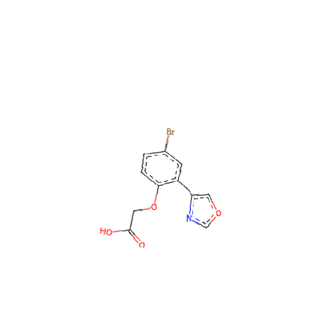 O=C(O)COc1ccc(Br)cc1-c1cocn1